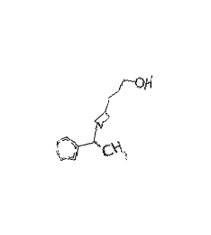 CC(c1ccccc1)N1CC(CCCO)C1